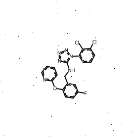 Fc1ccc(Oc2ccccn2)c(CNc2nnnn2-c2cccc(Cl)c2Cl)c1